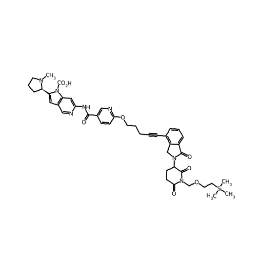 CN1CCC[C@@H]1c1cc2cnc(NC(=O)c3ccc(OCCCC#Cc4cccc5c4CN(C4CCC(=O)N(COCC[Si](C)(C)C)C4=O)C5=O)nc3)cc2n1C(=O)O